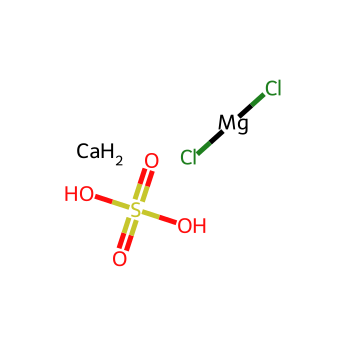 O=S(=O)(O)O.[CaH2].[Cl][Mg][Cl]